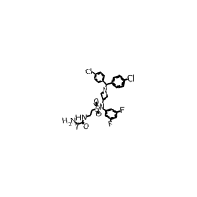 C[C@@H](N)C(=O)NCCS(=O)(=O)N(c1cc(F)cc(F)c1)C1CN(C(c2ccc(Cl)cc2)c2ccc(Cl)cc2)C1